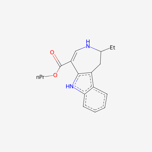 CCCOC(=O)C1=CNC(CC)Cc2c1[nH]c1ccccc21